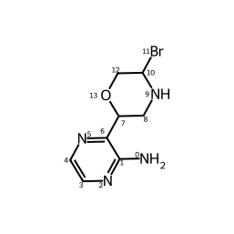 Nc1nccnc1C1CNC(Br)CO1